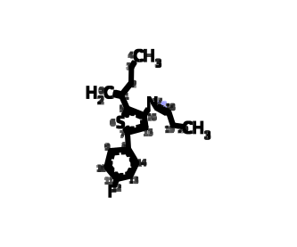 C=C(CCC)c1sc(-c2ccc(F)cc2)cc1/N=C\CC